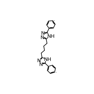 [c]1ccc(-c2nnc(CCCCc3nnc(-c4cc[c]cc4)[nH]3)[nH]2)cc1